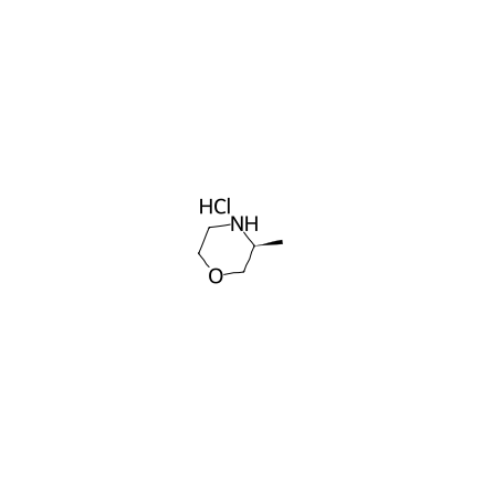 C[C@H]1COCCN1.Cl